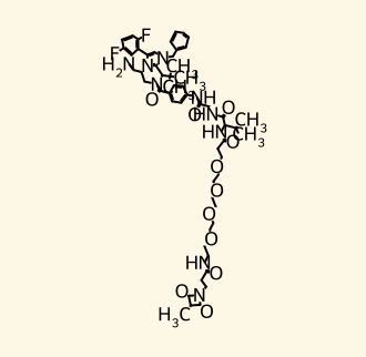 CC1C(=O)N(CCC(=O)NCCOCCOCCOCCOCCC(=O)NC(C(=O)NCC(=O)Nc2ccc(C(=O)N(CCCN)C(c3nc(-c4cc(F)ccc4F)cn3Cc3ccccc3)C(C)(C)C)cc2)C(C)C)C1=O